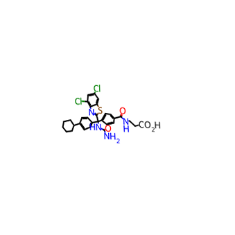 NC(=O)NC(c1ccc(C(=O)NCCC(=O)O)cc1)(c1ccc(C2CCCCC2)cc1)c1nc2c(Cl)cc(Cl)cc2s1